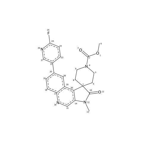 COC(=O)N1CCC2(CC1)C(=O)N(C)c1cnc3ccc(-c4ccc(F)nc4)cc3c12